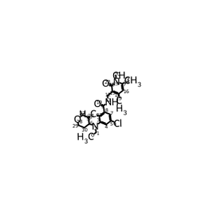 CCN(c1cc(Cl)cc(C(=O)NCc2c(C)cc(C)n(C)c2=O)c1C)C1CCOCC1